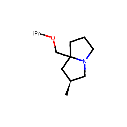 CC(C)OCC12CCCN1C[C@@H](C)C2